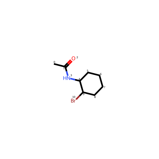 CC(=O)NC1CCCCC1Br